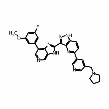 COc1cc(F)cc(-c2cncc3[nH]c(-c4n[nH]c5ccc(-c6cncc(CN7CCCC7)c6)nc45)nc23)c1